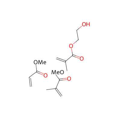 C=C(C)C(=O)OC.C=C(C)C(=O)OCCO.C=CC(=O)OC